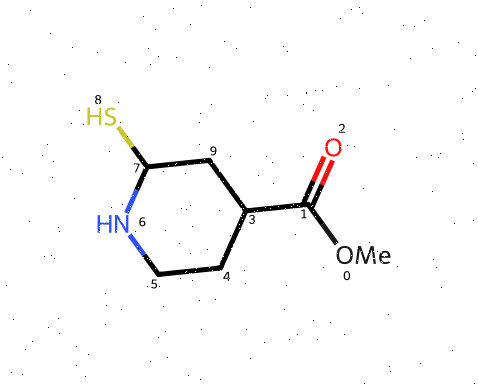 COC(=O)C1CCNC(S)C1